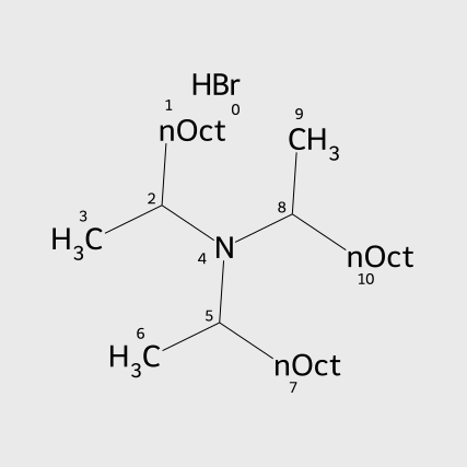 Br.CCCCCCCCC(C)N(C(C)CCCCCCCC)C(C)CCCCCCCC